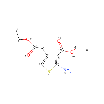 CCOC(=O)Cc1csc(N)c1C(=O)OCC